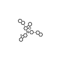 c1ccc2cc(-c3ccc(N(c4ccc5c(c4)sc4ccccc45)c4ccc(-c5ccc6ccccc6c5)c5c4oc4ccccc45)cc3)ccc2c1